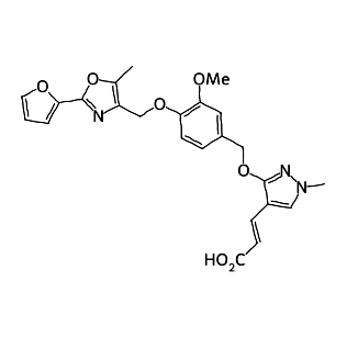 COc1cc(COc2nn(C)cc2/C=C/C(=O)O)ccc1OCc1nc(-c2ccco2)oc1C